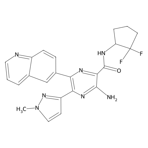 Cn1ccc(-c2nc(N)c(C(=O)NC3CCCC3(F)F)nc2-c2ccc3ncccc3c2)n1